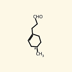 C[C@H]1CC=C(CCC=O)CC1